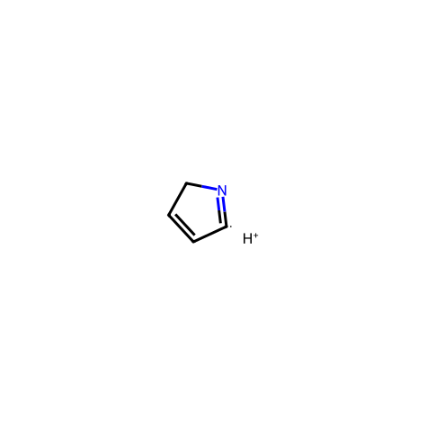 [C]1=NCC=C1.[H+]